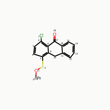 CCCOSc1ccc(Cl)c2c1Cc1ccccc1C2=O